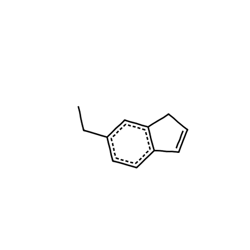 CCc1ccc2c(c1)CC=C2